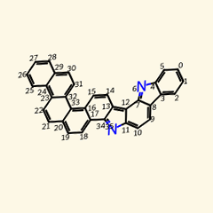 c1ccc2c(c1)N=c1c-2ccc2c1=c1ccc3c(ccc4ccc5c6ccccc6ccc5c43)c1=N2